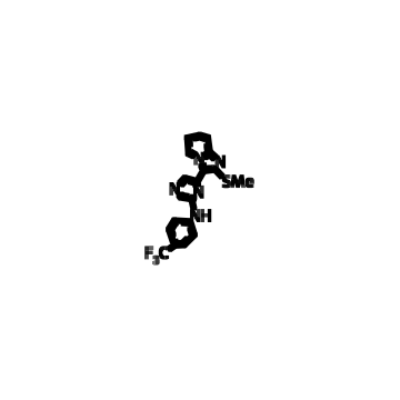 CSc1nc2ccccn2c1-c1cncc(Nc2ccc(C(F)(F)F)cc2)n1